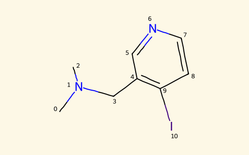 CN(C)Cc1cnccc1I